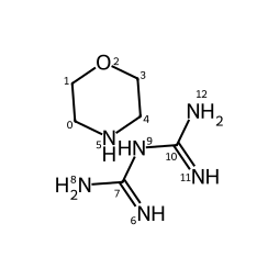 C1COCCN1.N=C(N)NC(=N)N